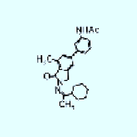 CC(=O)Nc1cccc(-c2cc(C)c3c(c2)CN(N=C(C)C2CCCCC2)C3=O)c1